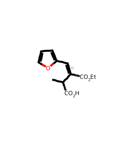 CCOC(=O)/C(=C/c1ccco1)C(C)C(=O)O